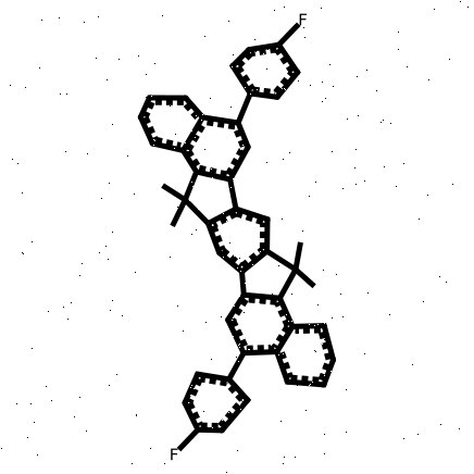 CC1(C)c2cc3c(cc2-c2cc(-c4ccc(F)cc4)c4ccccc4c21)C(C)(C)c1c-3cc(-c2ccc(F)cc2)c2ccccc12